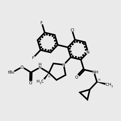 C[C@H](NC(=O)c1ncc(Cl)c(-c2cc(F)cc(F)c2)c1N1CC[C@](C)(NC(=O)OC(C)(C)C)C1)C1CC1